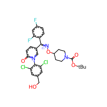 CC(C)(C)OC(=O)N1CCC(O/N=C(\c2ccc(=O)n(-c3c(Cl)cc(CO)cc3Cl)c2)c2ccc(F)cc2F)CC1